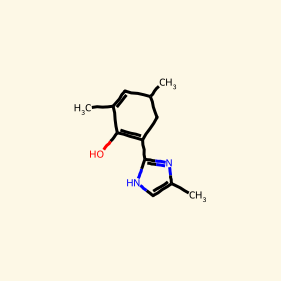 CC1=CC(C)CC(c2nc(C)c[nH]2)=C1O